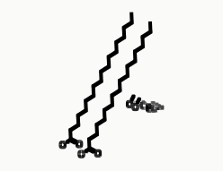 CCCCCCCCCCCCCCCCCC(=O)[O-].CCCCCCCCCCCCCCCCCC(=O)[O-].C[O-].C[O-].[Cu+2].[Cu+2]